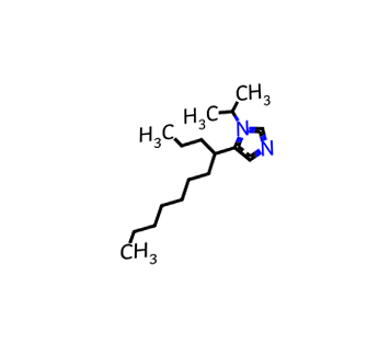 CCCCCCCC(CCC)c1cncn1C(C)C